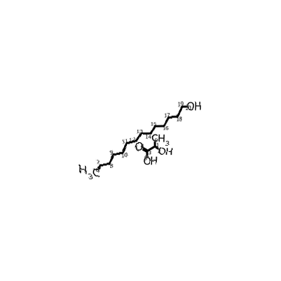 CC(O)C(=O)O.CCCCCCCCCCCCCCO